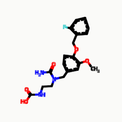 COc1cc(CN(CCNC(=O)O)C(N)=O)ccc1OCc1ccccc1F